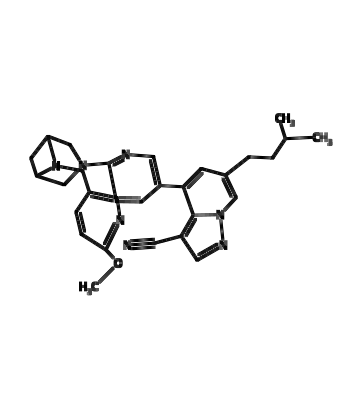 COc1ccc(CN2C3CC2CN(c2ccc(-c4cc(CCC(C)C)cn5ncc(C#N)c45)cn2)C3)cn1